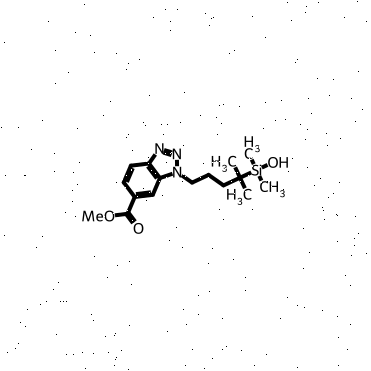 COC(=O)c1ccc2nnn(CCCC(C)(C)[Si](C)(C)O)c2c1